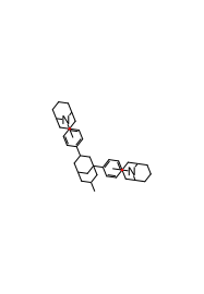 CC1CC2CCCC(C1)N2c1ccc(C2CC3CC(C)CC(c4ccc(N5C6CCCC5CC(C)C6)cc4)(C3)C2)cc1